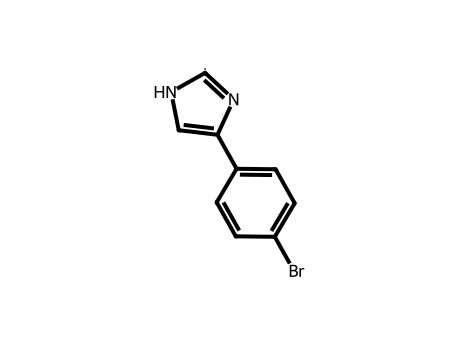 Brc1ccc(-c2c[nH][c]n2)cc1